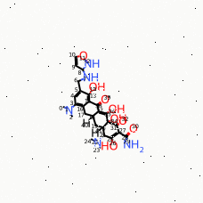 CN(C)c1cc(CNC2C=CON2)c(O)c2c1C[C@H]1C[C@H]3[C@@H](N(C)C)C(O)=C(C(N)=O)C(=O)[C@@]3(O)C(O)=C1C2=O